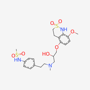 COc1ccc(OCC(O)CN(C)CCc2ccc(NS(C)(=O)=O)cc2)c2c1NS(=O)(=O)CC2